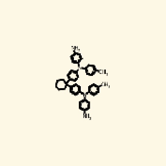 Cc1ccc(N(c2ccc(N)cc2)c2ccc(C3(c4ccc(N(c5ccc(C)cc5)c5ccc(N)cc5)cc4)CCCCC3)cc2)cc1